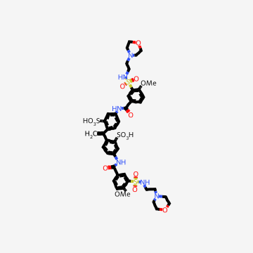 C=C(c1ccc(NC(=O)c2ccc(OC)c(S(=O)(=O)NCCN3CCOCC3)c2)cc1S(=O)(=O)O)c1ccc(NC(=O)c2ccc(OC)c(S(=O)(=O)NCCN3CCOCC3)c2)cc1S(=O)(=O)O